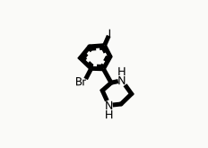 Brc1ccc(I)cc1C1CNCCN1